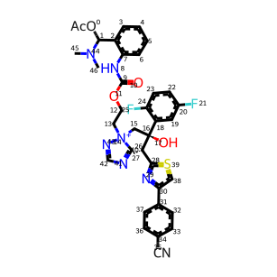 CC(=O)OC(c1ccccc1NC(=O)OCC[N+]1(C[C@](O)(c2cc(F)ccc2F)[C@@H](C)c2nc(-c3ccc(C#N)cc3)cs2)C=NC=N1)N(C)C